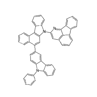 c1ccc(-n2c3ccccc3c3cc(-c4cc5c(c6ccccc46)c4ccccc4n5-c4cc5cccc6c5c(n4)-c4ccccc4-6)ccc32)cc1